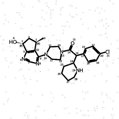 C[C@@H]1C[C@@H](O)c2ncnc(N3CCN(C(=O)C(c4ccc(Cl)cc4)C4CCCCN4)CC3)c21